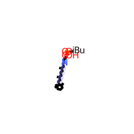 CCC(C)COP(=O)(O)OCC/N=C/C=C(C)/C=C/C=C(C)/C=C/C1=C(C)CCCC1(C)C